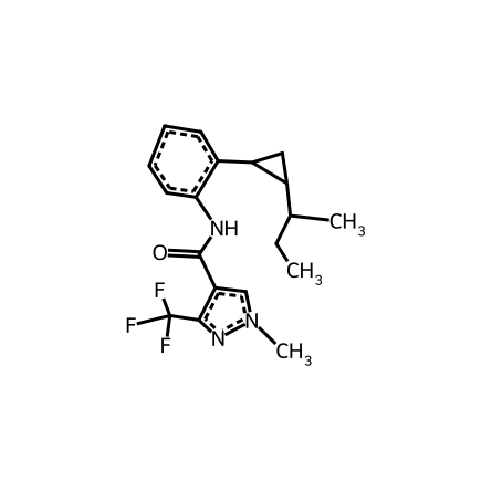 CCC(C)C1CC1c1ccccc1NC(=O)c1cn(C)nc1C(F)(F)F